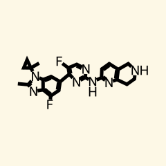 Cc1nc2c(F)cc(-c3nc(Nc4ccc5c(n4)CCNC5)ncc3F)cc2n1C1(C)CC1